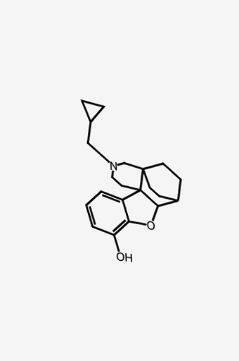 Oc1cccc2c1OC1C3CCC4(CC3)CN(CC3CC3)CCC214